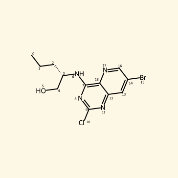 CCC[C@@H](CO)Nc1nc(Cl)nc2cc(Br)cnc12